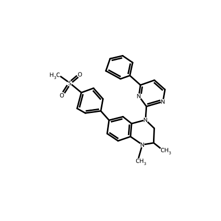 CC1CN(c2nccc(-c3ccccc3)n2)c2cc(-c3ccc(S(C)(=O)=O)cc3)ccc2N1C